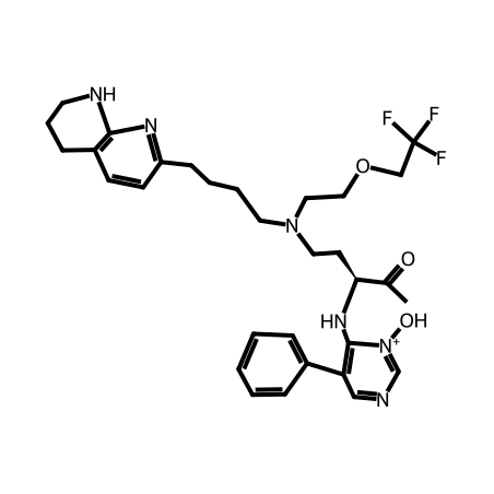 CC(=O)[C@H](CCN(CCCCc1ccc2c(n1)NCCC2)CCOCC(F)(F)F)Nc1c(-c2ccccc2)cnc[n+]1O